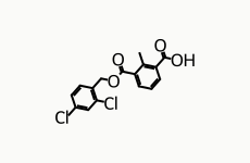 Cc1c(C(=O)O)cccc1C(=O)OCc1ccc(Cl)cc1Cl